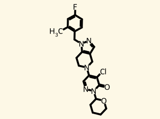 Cc1cc(F)ccc1Cn1ncc2c1CCN(c1cnn(C3CCCCO3)c(=O)c1Cl)C2